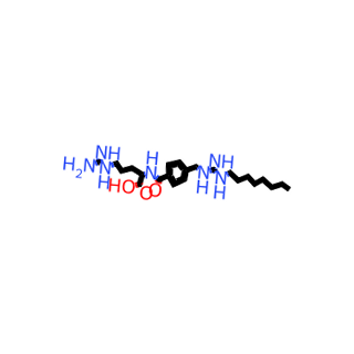 CCCCCCCCNC(=N)NCc1ccc(C(=O)NC(CCCNC(=N)N)C(=O)O)cc1